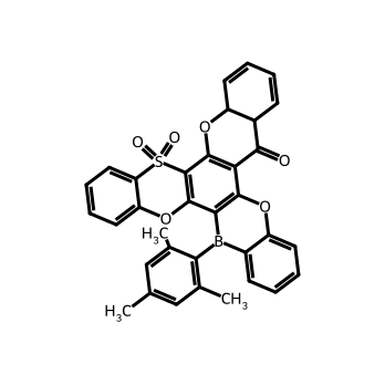 Cc1cc(C)c(B2c3ccccc3Oc3c2c2c(c4c3C(=O)C3C=CC=CC3O4)S(=O)(=O)c3ccccc3O2)c(C)c1